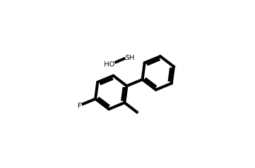 Cc1cc(F)ccc1-c1cc[c]cc1.OS